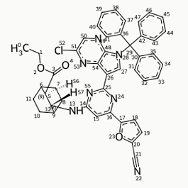 CCOC(=O)[C@@H]1C2CCC(CC2)[C@H]1Nc1cc(-c2ccc(C#N)o2)nc(-c2cn(C(c3ccccc3)(c3ccccc3)c3ccccc3)c3ncc(Cl)nc23)n1